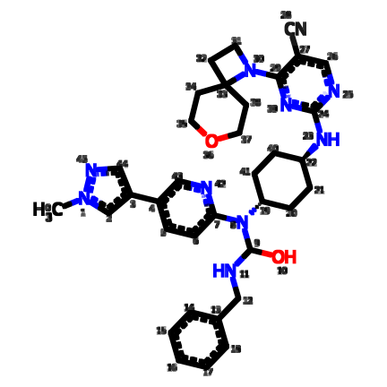 Cn1cc(-c2ccc(N(C(O)NCc3ccccc3)[C@H]3CC[C@H](Nc4ncc(C#N)c(N5CCC56CCOCC6)n4)CC3)nc2)cn1